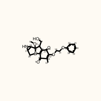 COC12C(CO)C3=C(C(=O)C(C)=C(OCCOc4ccccc4)C3=O)N1CC1NC12